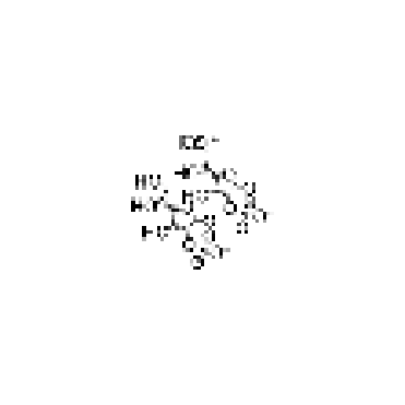 O=C1O[C@H]([C@@H](O)CO)C(O)=C1OS(=O)(=O)[O-].O=C1O[C@H]([C@@H](O)CO)C(O)=C1OS(=O)(=O)[O-].[Ca+2]